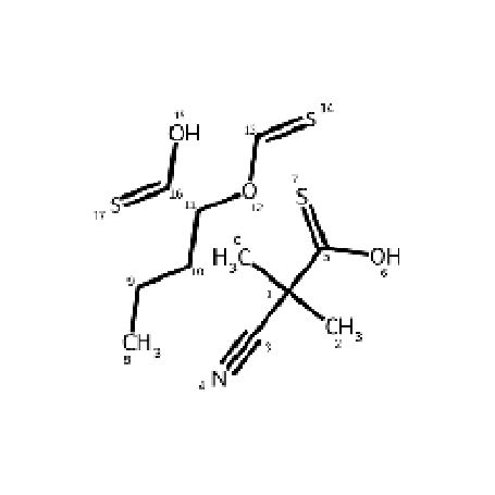 CC(C)(C#N)C(O)=S.CCCCOC=S.OC=S